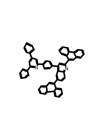 c1ccc(-c2cc(-c3ccccc3)nc(-c3ccc(-c4cc(-c5cc6ccccc6c6ccccc56)nc5ccc(-c6cc7ccccc7c7ccccc67)cc45)cc3)c2)cc1